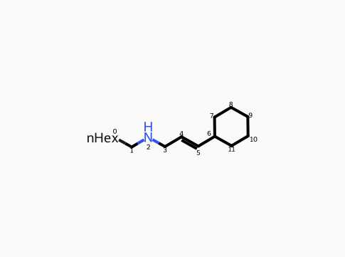 CCCCCCCNCC=CC1CCCCC1